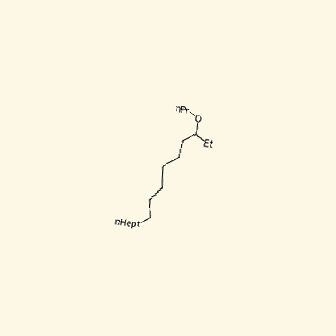 [CH2]CCOC(CC)CCCCCCCCCCCCC